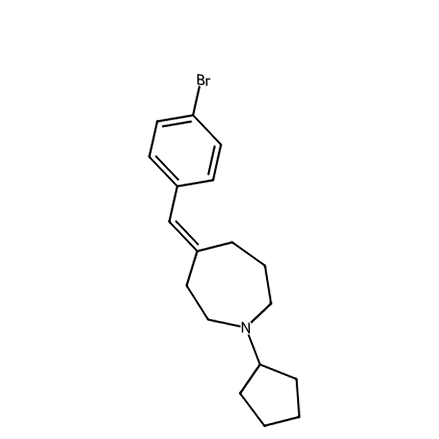 Brc1ccc(C=C2CCCN(C3CCCC3)CC2)cc1